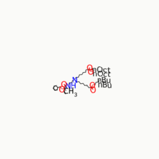 CCCCCCCCC(CCCCCCCC)OC(=O)CCCCCCCN(CCCCCCCC(=O)OCCC(CCCC)CCCC)CCCNC(=O)C(C)OCc1ccccc1